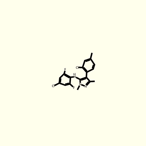 Cc1ccc(-c2c(C)nn(C)c2Nc2c(F)cc(Cl)cc2F)c(Cl)c1